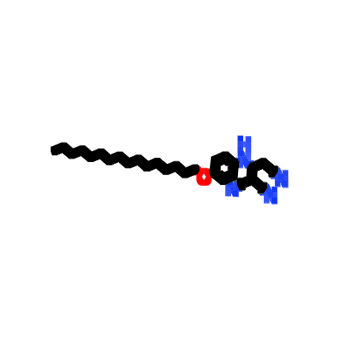 CCCCCCCCCCCCCCCCOc1ccc(NC(CC#N)=C(C#N)C#N)cc1